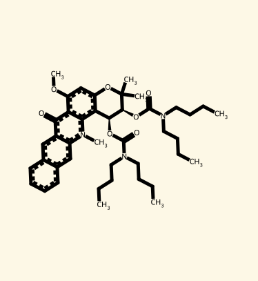 CCCCN(CCCC)C(=O)O[C@H]1c2c(cc(OC)c3c(=O)c4cc5ccccc5cc4n(C)c23)OC(C)(C)[C@H]1OC(=O)N(CCCC)CCCC